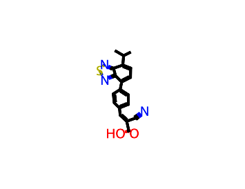 CC(C)c1ccc(-c2ccc(/C=C(\C#N)C(=O)O)cc2)c2nsnc12